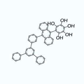 Oc1c(O)c(O)c(-c2c3ccccc3c(-c3cccc(-c4cc(-c5ccccc5)cc(-c5ccccc5)c4)c3)c3ccccc23)c(O)c1O